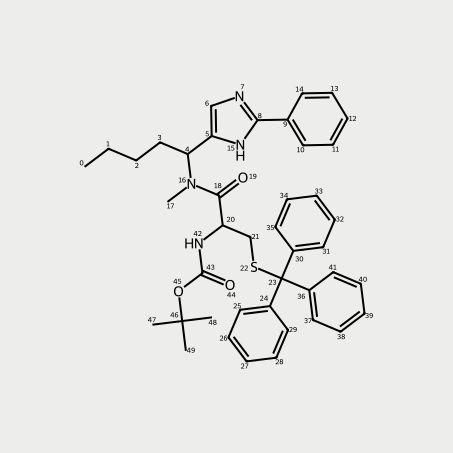 CCCCC(c1cnc(-c2ccccc2)[nH]1)N(C)C(=O)C(CSC(c1ccccc1)(c1ccccc1)c1ccccc1)NC(=O)OC(C)(C)C